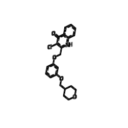 O=c1c(Cl)c(COc2cccc(OCC3CCOCC3)c2)[nH]c2ccccc12